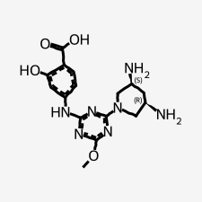 COc1nc(Nc2ccc(C(=O)O)c(O)c2)nc(N2C[C@H](N)C[C@H](N)C2)n1